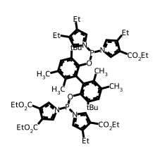 CCOC(=O)c1cn(P(Oc2c(C(C)(C)C)cc(C)c(C)c2-c2c(C)c(C)cc(C(C)(C)C)c2OP(n2cc(CC)c(C(=O)OCC)c2)n2cc(C(=O)OCC)c(C(=O)OCC)c2)n2cc(CC)c(CC)c2)cc1CC